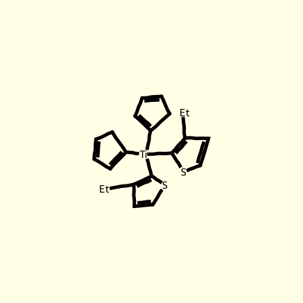 CCc1ccs[c]1[Ti]([C]1=CC=CC1)([C]1=CC=CC1)[c]1sccc1CC